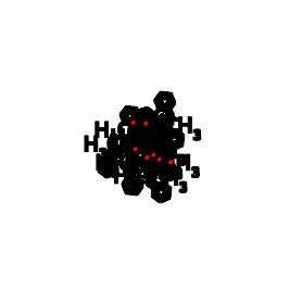 CC(C)(Cc1ccccc1)c1ccc(O[PH](Oc2ccc(C(C)(C)Cc3ccccc3)cc2C(C)(C)Cc2ccccc2)(c2ccc(C(C)(C)Cc3ccccc3)cc2C(C)(C)Cc2ccccc2)c2ccc(C(C)(C)Cc3ccccc3)cc2C(C)(C)Cc2ccccc2)c(C(C)(C)Cc2ccccc2)c1